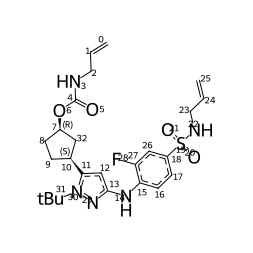 C=CCNC(=O)O[C@@H]1CC[C@H](c2cc(Nc3ccc(S(=O)(=O)NCC=C)cc3F)nn2C(C)(C)C)C1